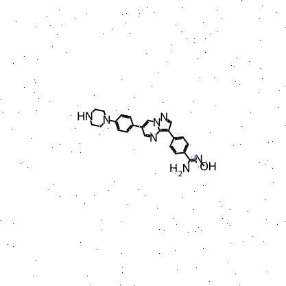 N/C(=N\O)c1ccc(-c2cnn3cc(-c4ccc(N5CCNCC5)cc4)cnc23)cc1